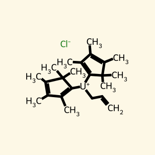 C=C[CH2][U+]([C]1=C(C)C(C)=C(C)C1(C)C)[C]1=C(C)C(C)=C(C)C1(C)C.[Cl-]